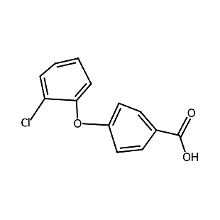 O=C(O)c1ccc(Oc2ccccc2Cl)cc1